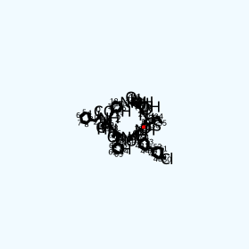 O=C(O)[C@H](Cc1ccccc1)NC(=O)[C@@H]1Cc2ccc(cc2)NC(=O)[C@H](O)[C@@H](O)C(=O)N[C@H](Cc2cccs2)C(=O)N[C@@H](Cc2ccc(-c3ccc(Cl)cc3)cc2)C(=O)N[C@H](Cc2ccccc2)C(=O)N1